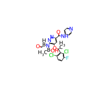 CB(O)N(BC=O)c1nnc(C(=O)Nc2ccncc2)cc1OC(C)c1c(Cl)ccc(F)c1Cl